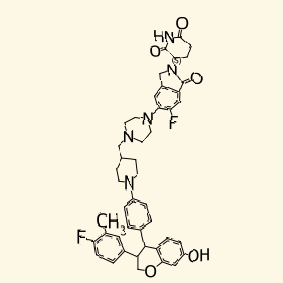 Cc1cc(C2COc3cc(O)ccc3C2c2ccc(N3CCC(CN4CCN(c5cc6c(cc5F)C(=O)N([C@H]5CCC(=O)NC5=O)C6)CC4)CC3)cc2)ccc1F